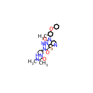 CNC(C)C(=O)N1CCC[C@@H](NC(=O)c2sc3nccc4c3c2NC(=O)N4c2ccc(Oc3ccccc3)cc2C)C1